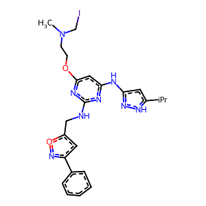 CC(C)c1cc(Nc2cc(OCCN(C)CI)nc(NCc3cc(-c4ccccc4)no3)n2)n[nH]1